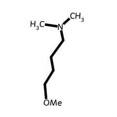 COCCCCN(C)C